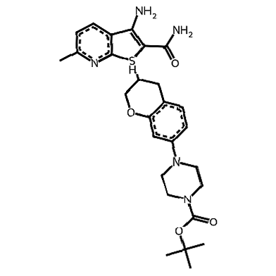 Cc1ccc2c(n1)[SH](C1COc3cc(N4CCN(C(=O)OC(C)(C)C)CC4)ccc3C1)C(C(N)=O)=C2N